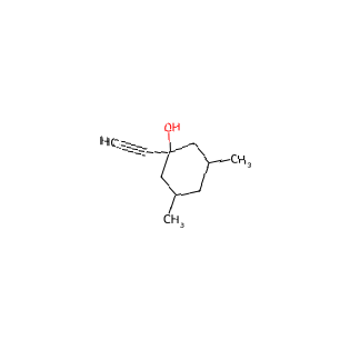 C#CC1(O)CC(C)CC(C)C1